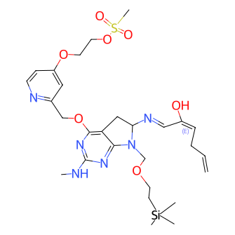 C=CC/C=C(/O)C=NC1Cc2c(OCc3cc(OCCOS(C)(=O)=O)ccn3)nc(NC)nc2N1COCC[Si](C)(C)C